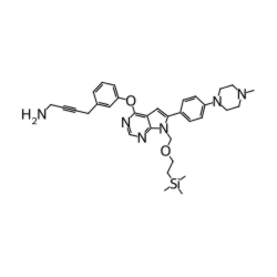 CN1CCN(c2ccc(-c3cc4c(Oc5cccc(CC#CCN)c5)ncnc4n3COCC[Si](C)(C)C)cc2)CC1